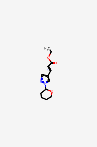 CCOC(=O)/C=C/c1cnn(C2CCCCO2)c1